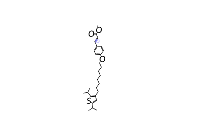 COC(=O)/C=C/c1ccc(OCCCCCCCCc2cc(C(C)C)sc2C(C)C)cc1